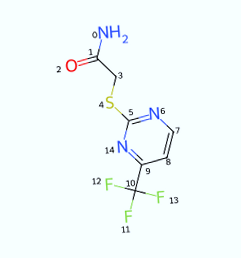 NC(=O)CSc1nccc(C(F)(F)F)n1